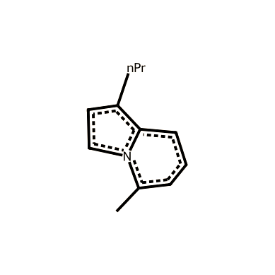 CCCc1ccn2c(C)cccc12